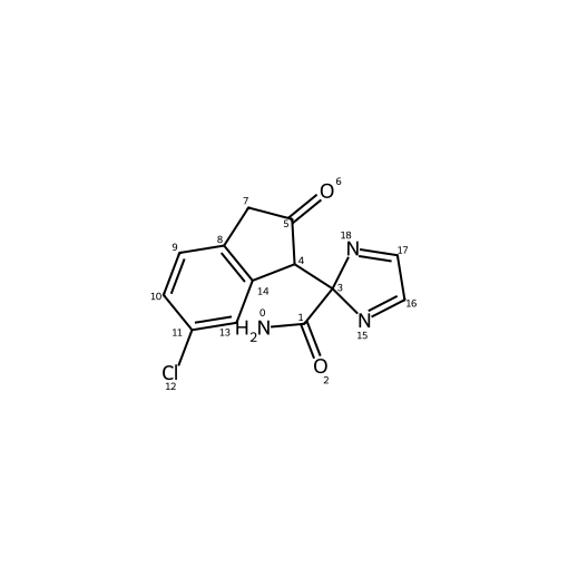 NC(=O)C1(C2C(=O)Cc3ccc(Cl)cc32)N=CC=N1